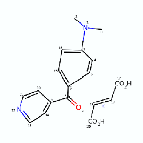 CN(C)c1ccc(C(=O)c2ccncc2)cc1.O=C(O)/C=C/C(=O)O